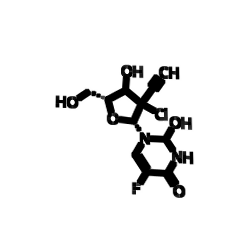 C#CC1(Cl)C(O)[C@@H](CO)O[C@H]1N1C=C(F)C(=O)NC1O